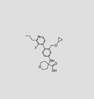 CCCc1nccc(-c2ccc(NC3(C(=O)O)CCOCC3)cc2COC2CC2)c1F